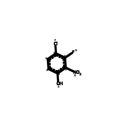 O=[N+]([O-])c1c(O)ccc(Cl)c1F